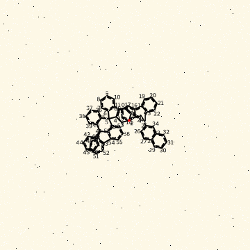 C1=CCCC(C2(c3ccccc3-c3ccc4c(c3)c3ccccc3n4-c3ccc4ccccc4c3)c3ccccc3C3(c4ccccc4)c4ccccc4-c4cccc2c43)=C1